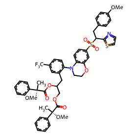 COc1ccc(CC(c2nccs2)S(=O)(=O)c2ccc3c(c2)OCCN3c2ccc(C(F)(F)F)cc2CC(COC(=O)[C@@](C)(OC)c2ccccc2)OC(=O)[C@@](C)(OC)c2ccccc2)cc1